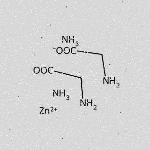 N.N.NCC(=O)[O-].NCC(=O)[O-].[Zn+2]